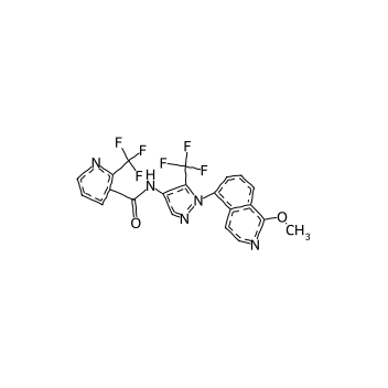 COc1nccc2c(-n3ncc(NC(=O)c4cccnc4C(F)(F)F)c3C(F)(F)F)cccc12